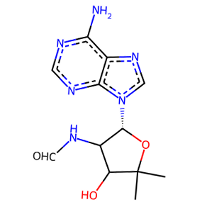 CC1(C)O[C@@H](n2cnc3c(N)ncnc32)C(NC=O)C1O